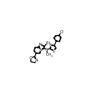 CCc1nc2ccc(C3=NCCO3)cn2c1N(C)c1nc(-c2ccc(Cl)cc2)cs1